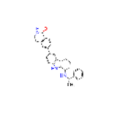 CC(NC1CCCc2c1[nH]c1ccc(-c3ccc4c(c3)CCNC4=O)cc21)c1ccccc1